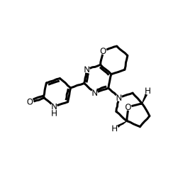 O=c1ccc(-c2nc3c(c(N4C[C@H]5CC[C@@H](C4)O5)n2)CCCO3)c[nH]1